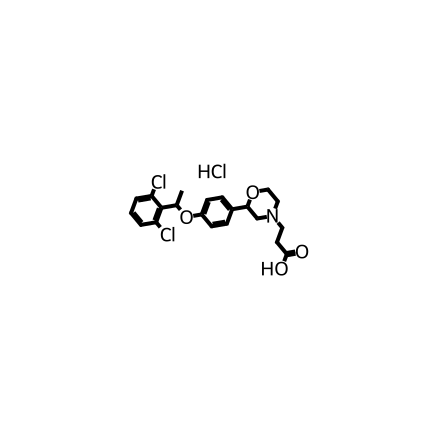 CC(Oc1ccc(C2CN(CCC(=O)O)CCO2)cc1)c1c(Cl)cccc1Cl.Cl